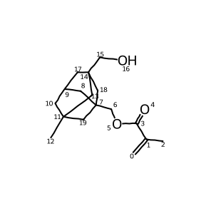 C=C(C)C(=O)OCC12CC3CC(C)(CC(CO)(C3)C1)C2